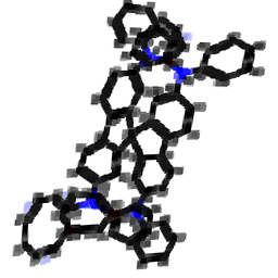 C/C=C\CN(c1ccccc1)c1ccc2c(c1)C1(c3cc(N(/C4=C/C=C\C/C=C\C4)c4ccccc4)ccc3-2)c2cc(N(c3ccccc3)c3ccccc3)ccc2-c2ccc(N(c3ccccc3)c3ccccc3)cc21